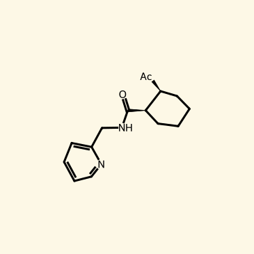 CC(=O)[C@H]1CCCC[C@H]1C(=O)NCc1ccccn1